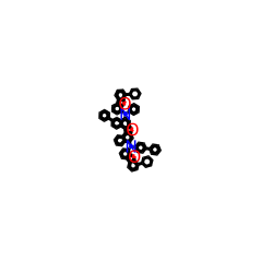 c1ccc(-c2ccc(N(c3cc4oc5cc(N(c6ccccc6)c6cccc7c6oc6c(C8CCCCC8)cccc67)c6cc(-c7ccccc7)ccc6c5c4c4ccccc34)c3cccc4c3oc3c(C5CCCCC5)cccc34)cc2)cc1